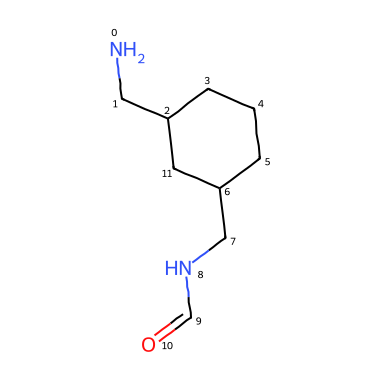 NCC1CCCC(CNC=O)C1